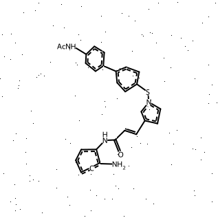 CC(=O)Nc1ccc(-c2ccc(Sn3ccc(C=CC(=O)Nc4ccccc4N)c3)cc2)cc1